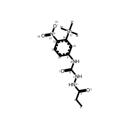 CCC(=O)NNC(=O)Nc1ccc([N+](=O)[O-])[c]([Sn]([CH3])([CH3])[CH3])c1